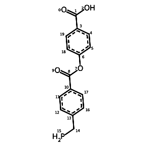 O=C(O)c1ccc(OC(=O)c2ccc(CP)cc2)cc1